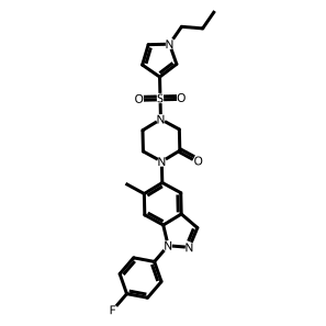 CCCn1ccc(S(=O)(=O)N2CCN(c3cc4cnn(-c5ccc(F)cc5)c4cc3C)C(=O)C2)c1